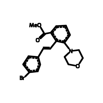 COC(=O)c1cccc(N2CCOCC2)c1C=Cc1ccc(Br)cc1